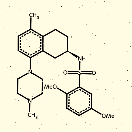 COc1ccc(OC)c(S(=O)(=O)N[C@@H]2CCc3c(C)ccc(N4CCN(C)CC4)c3C2)c1